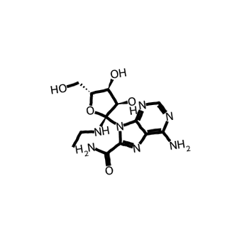 CCN[C@@]1(n2c(C(N)=O)nc3c(N)ncnc32)O[C@H](CO)[C@@H](O)[C@H]1O